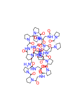 NCCCC[C@H](NC(=O)[C@@H]1CCCN1C(=O)CNC(=O)[C@@H]1CCCN1C(=O)[C@@H]1CCCN1C(=O)CNC(=O)[C@@H]1CCCN1C(=O)[C@@H]1CCCN1C(=O)CNC(=O)[C@@H]1CCCN1C(=O)[C@@H]1CCCN1C(=O)CNC(=O)[C@@H]1CCCN1C(=O)[C@@H]1CCCN1)C(=O)NCC(=O)N1CCC[C@H]1C(=O)N1CCC[C@H]1C(=O)NCC(=O)N1CCC[C@H]1C(=O)N1CCC[C@H]1C(=O)NCC(=O)O